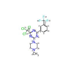 CN1CCN(c2nc(-c3cccc(C(F)(F)F)c3)nc(C(Cl)(Cl)Cl)n2)CC1